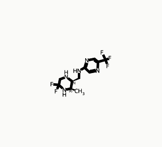 C[C@H]1NC(F)(F)CN[C@H]1CNc1cnc(C(F)(F)F)cn1